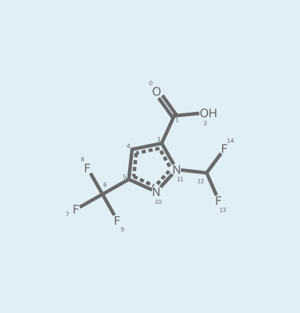 O=C(O)c1cc(C(F)(F)F)nn1C(F)F